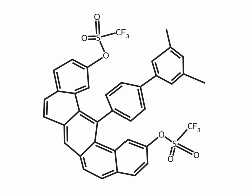 Cc1cc(C)cc(-c2ccc(-c3c4c(ccc5ccc(OS(=O)(=O)C(F)(F)F)cc54)cc4ccc5ccc(OS(=O)(=O)C(F)(F)F)cc5c34)cc2)c1